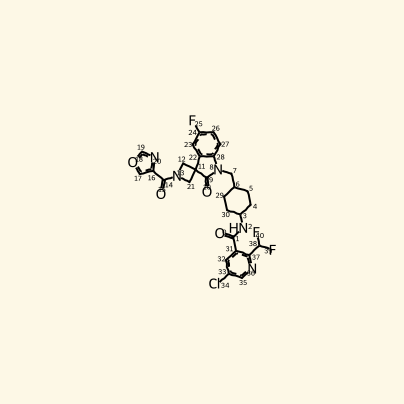 O=C(NC1CCC(CN2C(=O)C3(CN(C(=O)c4cocn4)C3)c3cc(F)ccc32)CC1)c1cc(Cl)cnc1C(F)F